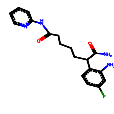 NC(=O)C(CCCCC(=O)Nc1ccccn1)c1ccc(F)cc1N